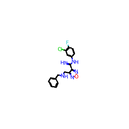 N=C(Nc1ccc(F)c(Cl)c1)c1nonc1CNCc1ccccc1